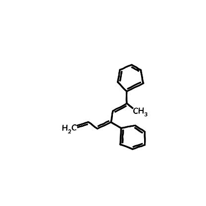 C=C/C=C(\C=C(/C)c1ccccc1)c1ccccc1